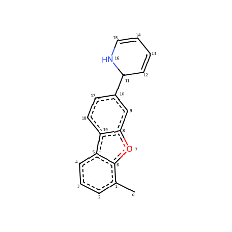 Cc1cccc2c1oc1cc(C3C=CC=CN3)ccc12